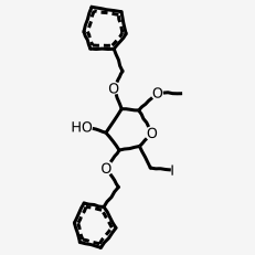 COC1OC(CI)C(OCc2ccccc2)C(O)C1OCc1ccccc1